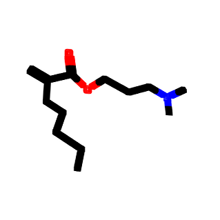 C=C(CCCCC)C(=O)OCCCN(C)C